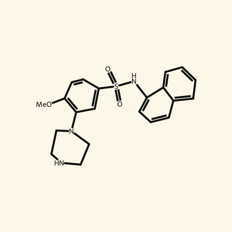 COc1ccc(S(=O)(=O)Nc2cccc3ccccc23)cc1N1CCNCC1